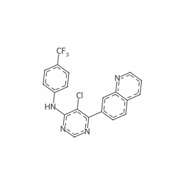 FC(F)(F)c1ccc(Nc2ncnc(-c3ccc4cccnc4c3)c2Cl)cc1